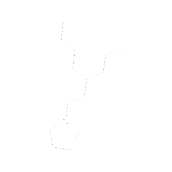 CCCCC(CCC)CCN1CCCC1